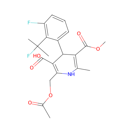 COC(=O)C1=C(C)NC(COC(C)=O)=C(C(=O)O)C1c1cccc(F)c1C(C)(C)F